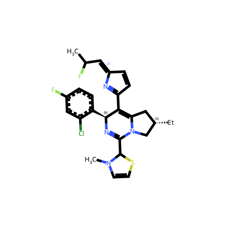 CC[C@H]1CC2=C(C3=N/C(=C\C(C)F)C=C3)[C@H](c3ccc(F)cc3Cl)N=C(C3SC=CN3C)N2C1